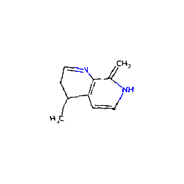 C=C1NC=CC2=C1N=CCC2C